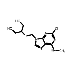 CNc1nc(Cl)nc2c1ncn2COC(CO)CO